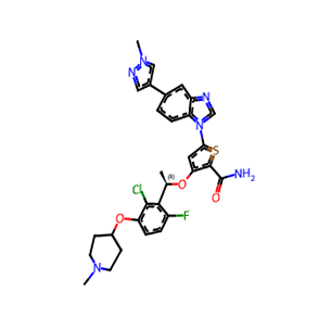 C[C@@H](Oc1cc(-n2cnc3cc(-c4cnn(C)c4)ccc32)sc1C(N)=O)c1c(F)ccc(OC2CCN(C)CC2)c1Cl